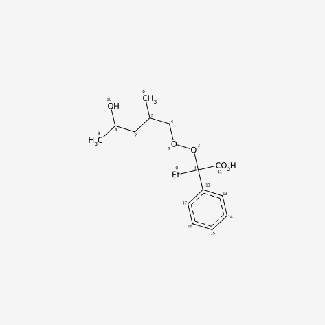 CCC(OOCC(C)CC(C)O)(C(=O)O)c1ccccc1